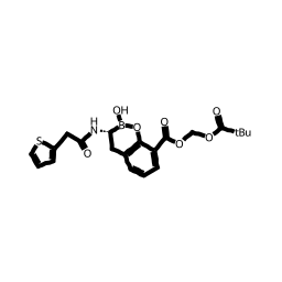 CC(C)(C)C(=O)OCOC(=O)c1cccc2c1OB(O)[C@@H](NC(=O)Cc1cccs1)C2